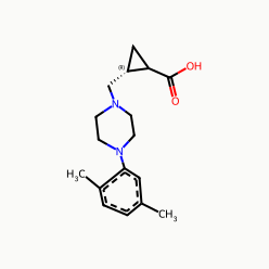 Cc1ccc(C)c(N2CCN(C[C@@H]3CC3C(=O)O)CC2)c1